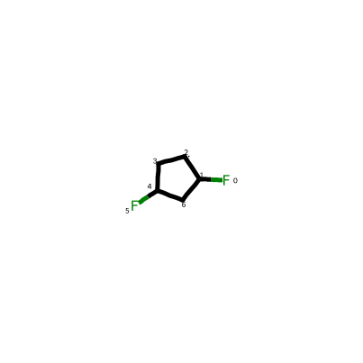 FC1[CH]CC(F)C1